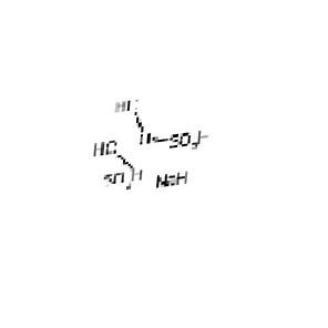 O=S(=O)(O)O.O=S(=O)(O)OO.[NaH]